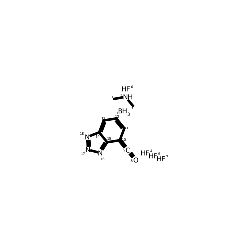 B.CNC.F.F.F.F.O=C=c1cccc2c1=NN=N2